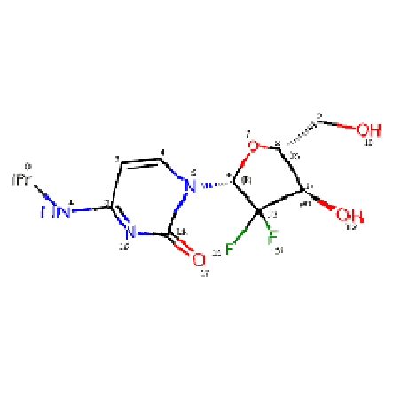 CC(C)Nc1ccn([C@@H]2O[C@H](CO)[C@@H](O)C2(F)F)c(=O)n1